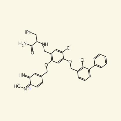 CC(C)CC(NCc1cc(Cl)c(OCc2cccc(-c3ccccc3)c2Cl)cc1OCC1=CC(=N)/C(=N\O)C=C1)C(N)=O